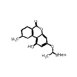 CCCCCCC(C)Oc1cc(O)c2c3c(c(=O)oc2c1)CCC(C)C3